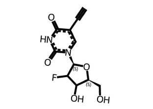 C#Cc1cn([C@H]2O[C@@H](CO)C(O)C2F)c(=O)[nH]c1=O